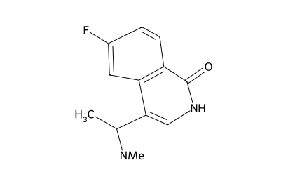 CNC(C)c1c[nH]c(=O)c2ccc(F)cc12